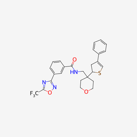 O=C(NCC1(C2CC(c3ccccc3)=CS2)CCOCC1)c1cccc(-c2noc(C(F)(F)F)n2)c1